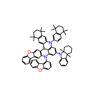 CC1(C)CCC(C)(C)c2cc(N3c4cc5c(cc4B4c6cc7oc8ccccc8c7cc6N(c6cccc7oc8ccccc8c67)c6cc(N7c8ccccc8C8(C)CCCCC78C)cc3c64)C(C)(C)CCC5(C)C)ccc21